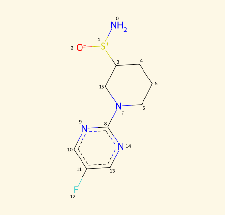 N[S+]([O-])C1CCCN(c2ncc(F)cn2)C1